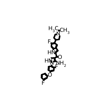 CC(C)N1CCC(c2cc3cc(C(=O)C4=C(N)N(c5ccc(Oc6cccc(F)c6)cc5F)NC4)[nH]c3cc2F)CC1